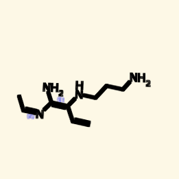 C=C/C(NCCCN)=C(N)\N=C/C